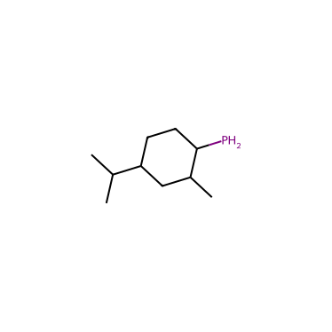 CC(C)C1CCC(P)C(C)C1